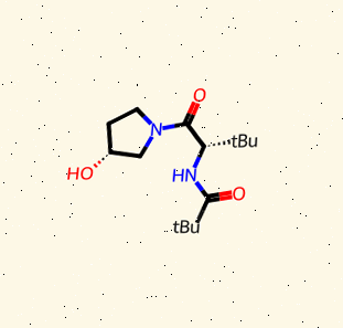 CC(C)(C)C(=O)N[C@H](C(=O)N1CC[C@@H](O)C1)C(C)(C)C